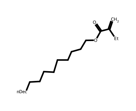 C=C(CC)C(=O)OCCCCCCCCCCCCCCCCCCC